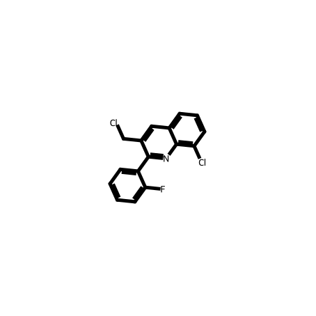 Fc1ccccc1-c1nc2c(Cl)cccc2cc1CCl